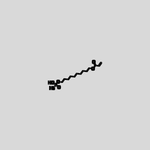 C=CC(=O)OCCCCCCCCCCOP(=O)(O)S